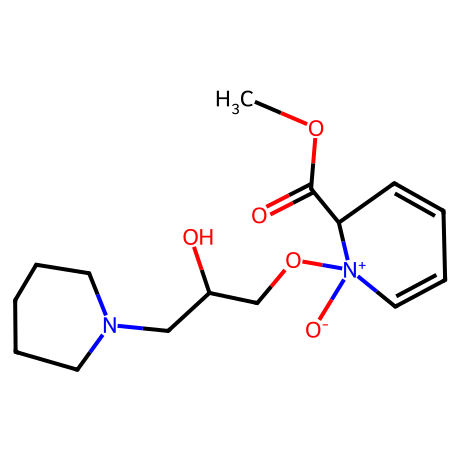 COC(=O)C1C=CC=C[N+]1([O-])OCC(O)CN1CCCCC1